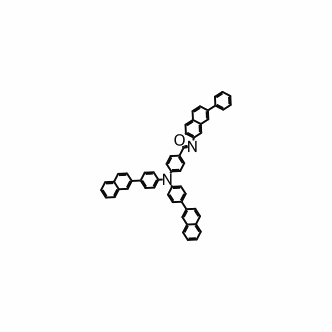 c1ccc(-c2ccc3cc4oc(-c5ccc(N(c6ccc(-c7ccc8ccccc8c7)cc6)c6ccc(-c7ccc8ccccc8c7)cc6)cc5)nc4cc3c2)cc1